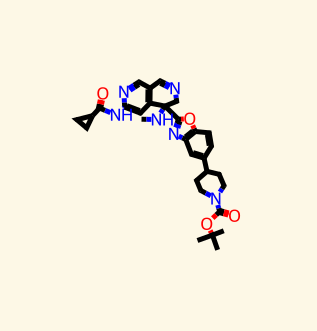 CNC1(c2nc3cc(C4CCN(C(=O)OC(C)(C)C)CC4)ccc3o2)CN=Cc2cnc(NC(=O)C3CC3)cc21